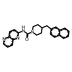 O=C(Nc1ccc2ncccc2n1)N1CCC(Cc2ccc3ccccc3c2)CC1